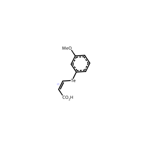 COc1cccc([Te]/C=C\C(=O)O)c1